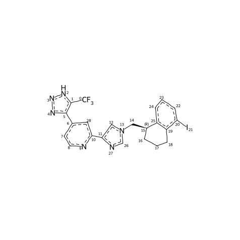 FC(F)(F)c1[nH]nnc1-c1ccnc(-c2cn(C[C@@H]3CCCc4c(I)cccc43)cn2)c1